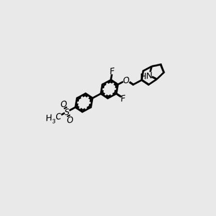 CS(=O)(=O)c1ccc(-c2cc(F)c(OCC3CC4CCC(C3)N4)c(F)c2)cc1